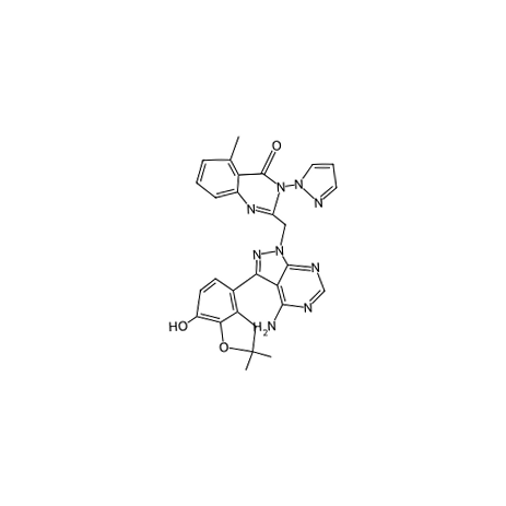 Cc1cccc2nc(Cn3nc(-c4ccc(O)c5c4CC(C)(C)O5)c4c(N)ncnc43)n(-n3cccn3)c(=O)c12